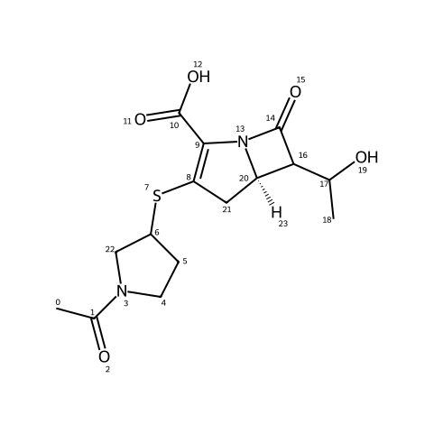 CC(=O)N1CCC(SC2=C(C(=O)O)N3C(=O)C(C(C)O)[C@H]3C2)C1